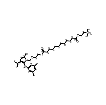 Cc1cc(C)cc(Sc2c(C(C)C)nc(C)n2COCCOC(=O)CCCCCCCCCCC(=O)OCC[Si](C)(C)C)c1